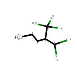 [CH2]CCC(C(F)F)C(F)(F)F